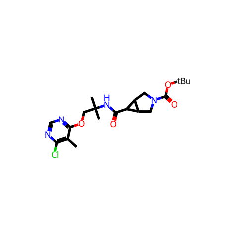 Cc1c(Cl)ncnc1OCC(C)(C)NC(=O)C1C2CN(C(=O)OC(C)(C)C)CC21